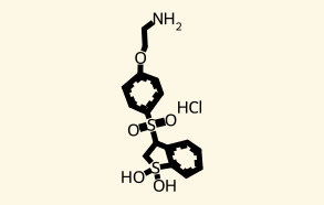 Cl.NCCOc1ccc(S(=O)(=O)C2CS(O)(O)c3ccccc32)cc1